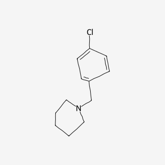 Clc1ccc(CN2CCCCC2)cc1